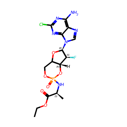 CCOC(=O)[C@H](C)NP1(=O)OCC2O[C@@H](n3cnc4c(N)nc(Cl)nc43)[C@@H](F)[C@@H]2O1